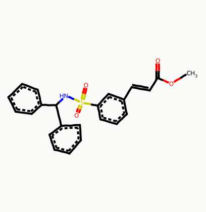 COC(=O)/C=C/c1cccc(S(=O)(=O)NC(c2ccccc2)c2ccccc2)c1